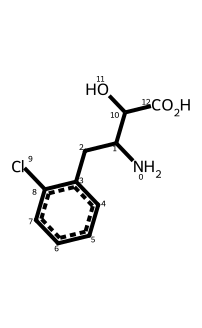 NC(Cc1ccccc1Cl)C(O)C(=O)O